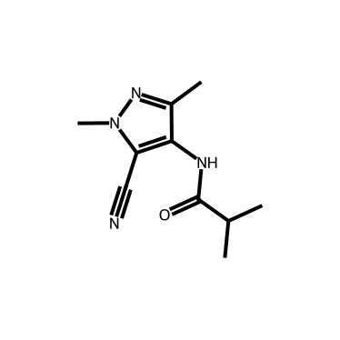 Cc1nn(C)c(C#N)c1NC(=O)C(C)C